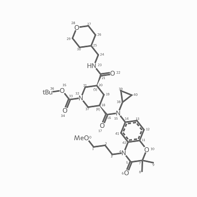 COCCCN1C(=O)C(C)(C)Oc2ccc(N(C(=O)[C@@H]3C[C@H](C(=O)NCC4CCOCC4)CN(C(=O)OC(C)(C)C)C3)C3CC3)cc21